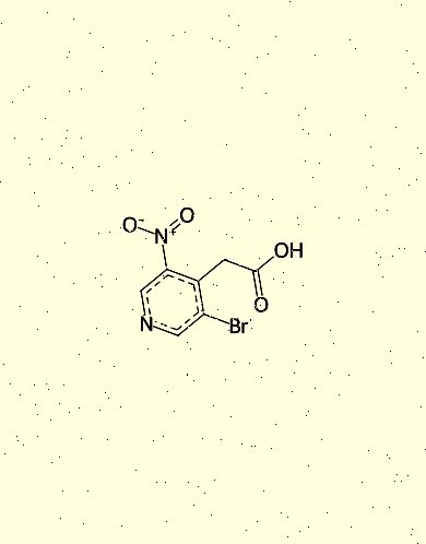 O=C(O)Cc1c(Br)cncc1[N+](=O)[O-]